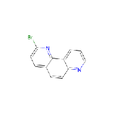 Brc1ccc2ccc3ncccc3c2n1